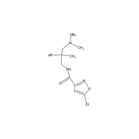 CCCCN(C)CC(C)(CCC)CNC(=O)c1cc(CC)on1